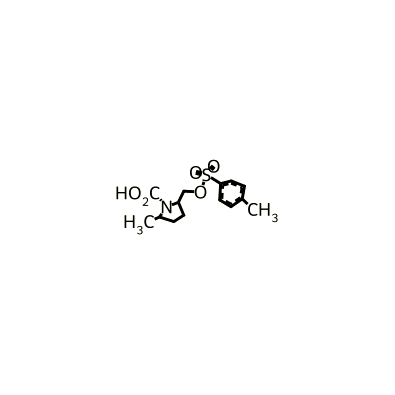 Cc1ccc(S(=O)(=O)OCC2CCC(C)N2C(=O)O)cc1